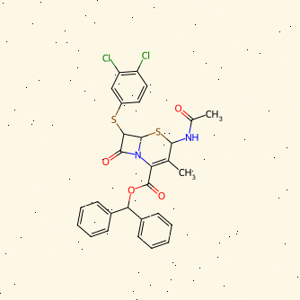 CC(=O)NC1SC2C(Sc3ccc(Cl)c(Cl)c3)C(=O)N2C(C(=O)OC(c2ccccc2)c2ccccc2)=C1C